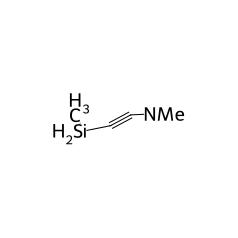 CNC#C[SiH2]C